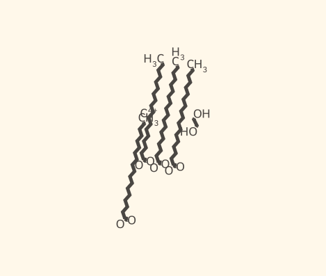 CCCCCCCCCCCCCCCCCC(=O)[O-].CCCCCCCCCCCCCCCCCC(=O)[O-].CCCCCCCCCCCCCCCCCC(=O)[O-].CCCCCCCCCCCCCCCCCC(=O)[O-].OCCO.[C+4]